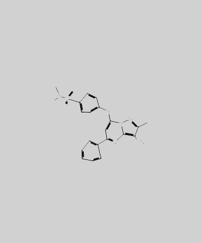 Cc1nn2c(Nc3ccc(S(=O)(=O)N(C)C)cc3)cc(-c3ccccc3)nc2c1C#N